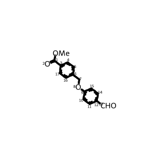 COC(=O)c1ccc(COc2ccc(C=O)cc2)cc1